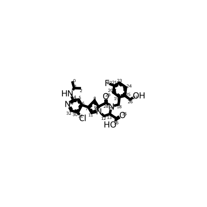 CC(C)Nc1cc(-c2cc3n(c2)CC(C(=O)O)N(Cc2cc(F)ccc2CO)C3=O)c(Cl)cn1